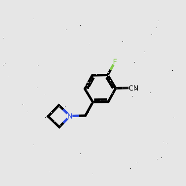 N#Cc1cc(CN2CCC2)ccc1F